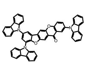 O=c1c2cc(-n3c4ccccc4c4ccccc43)ccc2oc2cc3c(cc12)oc1c(-n2c4ccccc4c4ccccc42)cc(-n2c4ccccc4c4ccccc42)cc13